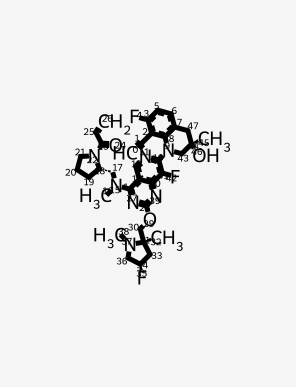 C#Cc1c(F)ccc2c1N(c1ncc3c(N(C)C[C@@H]4CCCN4C(=O)C=C)nc(OC[C@]4(C)C[C@@H](F)CN4C)nc3c1F)C[C@@](C)(O)C2